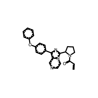 C=CC(=O)N1CCCC1c1nc(-c2ccc(Oc3ccccc3)cc2)c2cnccn12